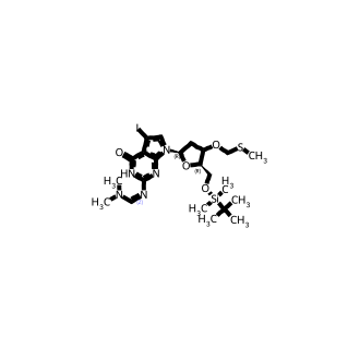 CSCOC1C[C@H](n2cc(I)c3c(=O)[nH]c(/N=C\N(C)C)nc32)O[C@@H]1CO[Si](C)(C)C(C)(C)C